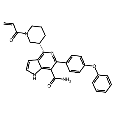 C=CC(=O)N1CCC[C@H](c2nc(-c3ccc(Oc4ccccc4)cc3)c(C(N)=O)c3[nH]ccc23)C1